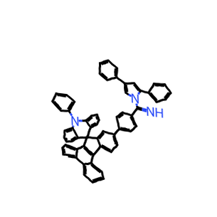 N=C(c1ccc(-c2ccc3c(c2)C2(c4ccccc4N(c4ccccc4)c4ccccc42)c2c-3c3ccccc3c3ccccc23)cc1)n1cc(-c2ccccc2)cc1-c1ccccc1